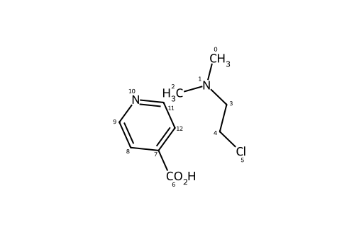 CN(C)CCCl.O=C(O)c1ccncc1